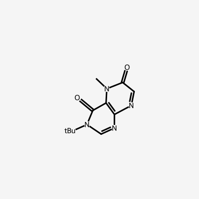 Cn1c(=O)cnc2ncn(C(C)(C)C)c(=O)c21